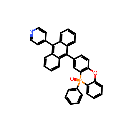 O=P1(c2ccccc2)c2ccccc2Oc2ccc(-c3c4ccccc4c(-c4ccncc4)c4ccccc34)cc21